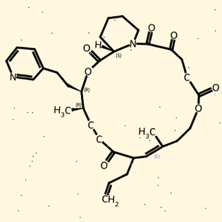 C=CCC1/C=C(\C)CCOC(=O)CCC(=O)C(=O)N2CCCC[C@H]2C(=O)O[C@H](CCc2cccnc2)[C@H](C)CCC1=O